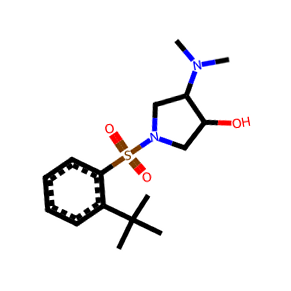 CN(C)C1CN(S(=O)(=O)c2ccccc2C(C)(C)C)CC1O